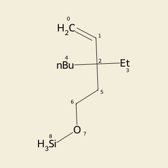 C=CC(CC)(CCCC)CCO[SiH3]